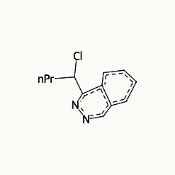 CCCC(Cl)c1nncc2ccccc12